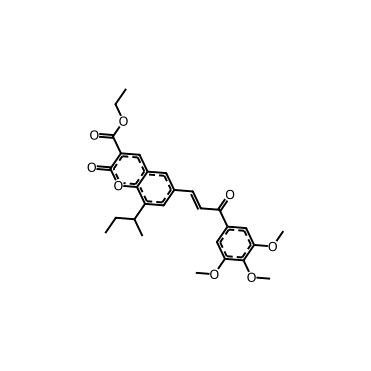 CCOC(=O)c1cc2cc(/C=C/C(=O)c3cc(OC)c(OC)c(OC)c3)cc(C(C)CC)c2oc1=O